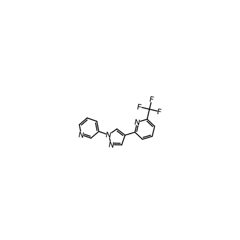 FC(F)(F)c1cccc(-c2cnn(-c3cccnc3)c2)n1